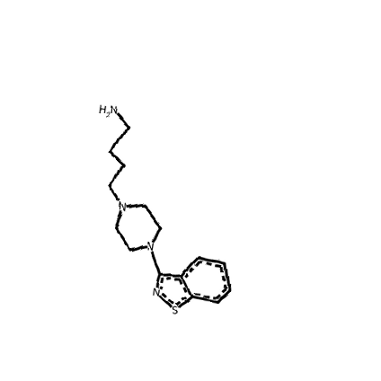 NCCCCN1CCN(c2nsc3ccccc23)CC1